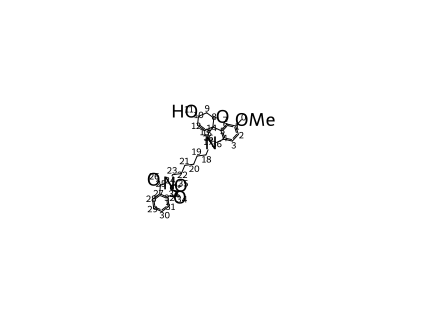 COc1ccc2c3c1OC1CC(O)C=CC31CCN(CCCCCCN1C(=O)c3ccccc3S1(=O)=O)C2